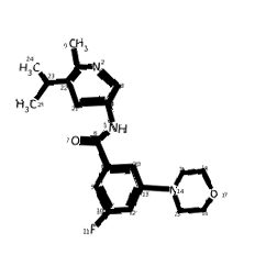 Cc1ncc(NC(=O)c2cc(F)cc(N3CCOCC3)c2)cc1C(C)C